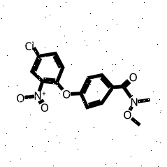 CON(C)C(=O)c1ccc(Oc2ccc(Cl)cc2[N+](=O)[O-])cc1